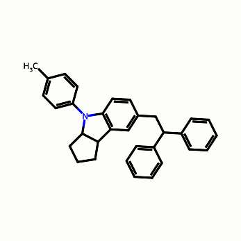 Cc1ccc(N2c3ccc(CC(c4ccccc4)c4ccccc4)cc3C3CCCC32)cc1